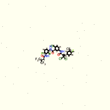 O=C(CC(C(F)(F)F)C(F)(F)F)Nc1c(F)ccc(NC(=O)c2cc(NC(=O)[C@H]3[C@H](c4ccc(F)c(C(F)(F)F)c4)C3(Cl)Cl)ccc2Cl)c1F